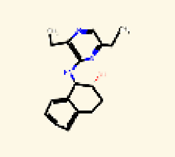 CCc1cnc(CC)c(N[C@@H]2c3ccccc3CC[C@H]2O)n1